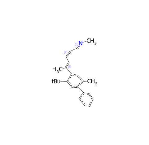 C/N=C/C=C\C=C(/C)c1cc(C)c(-c2ccccc2)cc1C(C)(C)C